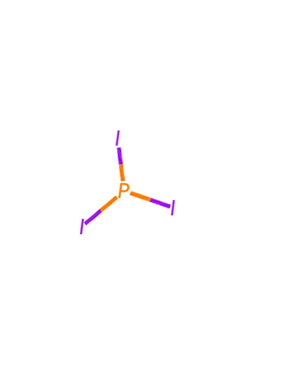 IP(I)I